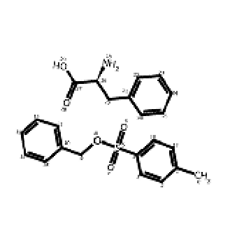 Cc1ccc(S(=O)(=O)OCc2ccccc2)cc1.N[C@@H](Cc1ccccc1)C(=O)O